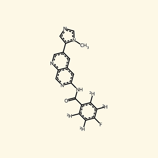 [2H]c1c([2H])c(C(=O)Nc2cc3cc(-c4cncn4C)cnc3cn2)c([2H])c([2H])c1F